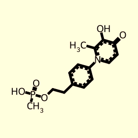 Cc1c(O)c(=O)ccn1-c1ccc(CCOP(C)(=O)O)cc1